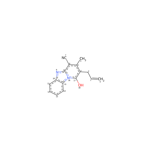 C=CCc1c(C)c(C#N)c2nc3ccccc3n2c1O